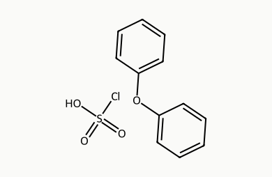 O=S(=O)(O)Cl.c1ccc(Oc2ccccc2)cc1